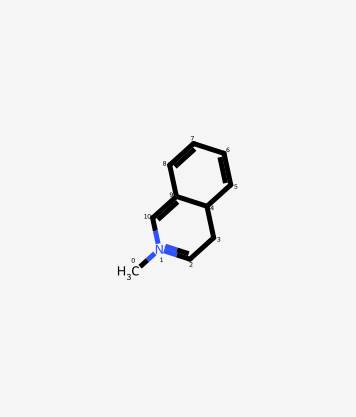 C[N+]1=CCC2C=CC=CC2=C1